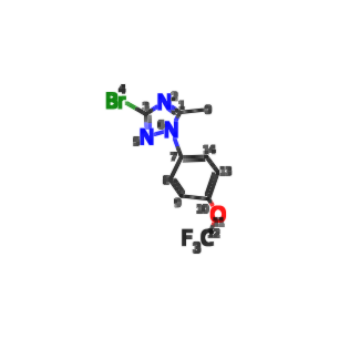 Cc1nc(Br)nn1-c1ccc(OC(F)(F)F)cc1